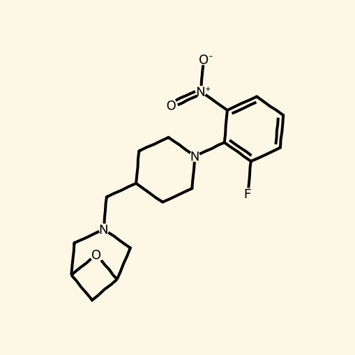 O=[N+]([O-])c1cccc(F)c1N1CCC(CN2CC3CC(C2)O3)CC1